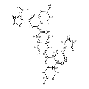 CC(C)n1nccc1C(=O)N[C@H](C(=O)Nc1ccc([C@H](C)[C@@H](NC(=O)c2cnns2)C(=O)N2CCN(C)CC2)cc1F)[C@H]1CC[C@H](C)CC1